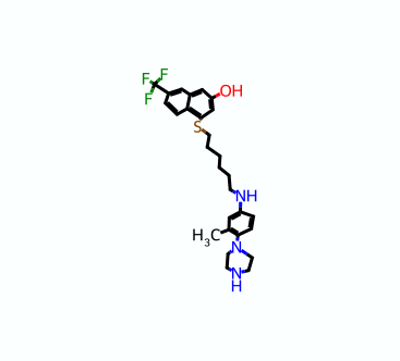 Cc1cc(NCCCCCCSc2cc(O)cc3cc(C(F)(F)F)ccc23)ccc1N1CCNCC1